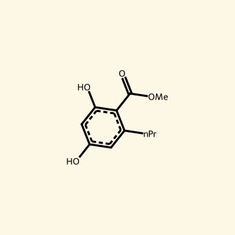 CCCc1cc(O)cc(O)c1C(=O)OC